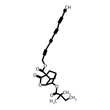 C#CC#CC#CC#CC#CCOC(=O)C12CC3CC1C(OC2=O)C3OC(=O)C(C)(C)CC